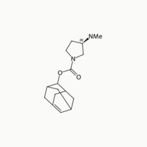 CN[C@@H]1CCN(C(=O)OC2C3CC4=CC(C3)CC2C4)C1